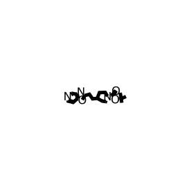 CC(C)(C)OC(=O)N1CCC(CCc2nc3cnccc3o2)CC1